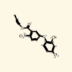 CC#COC(=O)c1cc(Oc2ccc(C(F)(F)F)cc2C#N)ccc1[N+](=O)[O-]